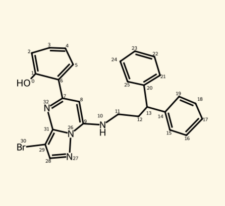 Oc1ccccc1-c1cc(NCCC(c2ccccc2)c2ccccc2)n2ncc(Br)c2n1